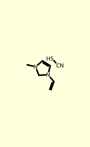 C=CN1C=CN(C)C1.N#CS